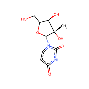 C[C@]1(O)[C@H](O)C(CO)O[C@H]1n1ccc(=O)[nH]c1=O